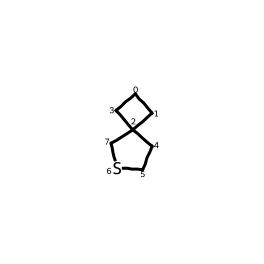 C1CC2(C1)CCSC2